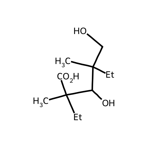 CCC(C)(CO)C(O)C(C)(CC)C(=O)O